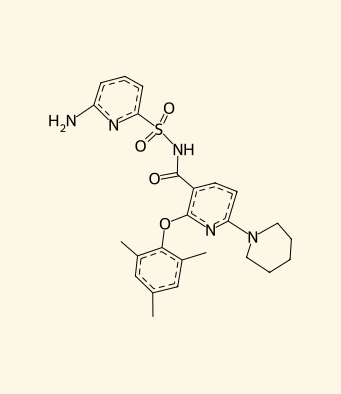 Cc1cc(C)c(Oc2nc(N3CCCCC3)ccc2C(=O)NS(=O)(=O)c2cccc(N)n2)c(C)c1